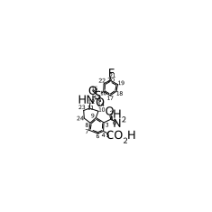 NC(=O)c1c(C(=O)O)ccc2c1CC(NS(=O)(=O)c1cccc(F)c1)CC2